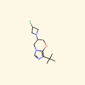 CC(C)(C)c1ncn2c1OCC(N1CC(F)C1)C2